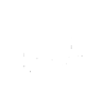 O=C(O)c1ccc(CC(CCCS)C(=O)O)cc1